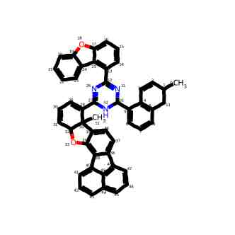 CC1C=Cc2c(cccc2C2N=C(c3cccc4oc5ccccc5c34)N=C(C3=CC=CC4Oc5c(ccc6c5-c5cccc7cccc-6c57)C34C)N2)C1